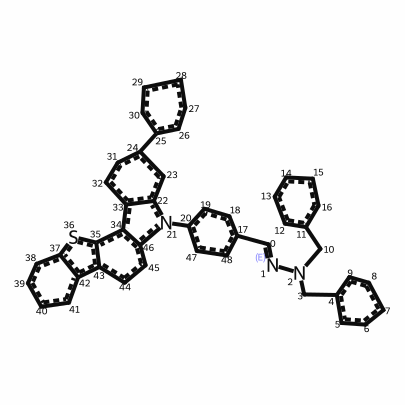 C(=N\N(Cc1ccccc1)Cc1ccccc1)/c1ccc(-n2c3cc(-c4ccccc4)ccc3c3c4sc5ccccc5c4ccc32)cc1